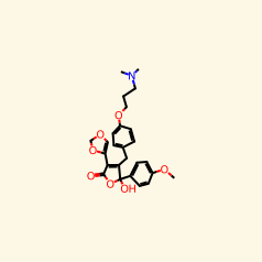 COc1ccc(C2(O)OC(=O)C(C3=COCO3)=C2Cc2ccc(OCCCN(C)C)cc2)cc1